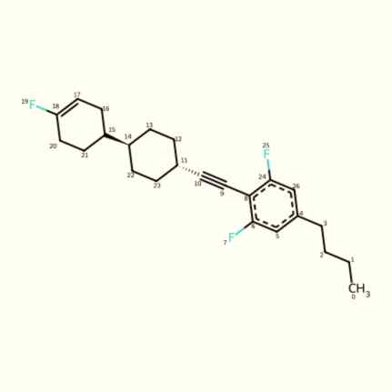 CCCCc1cc(F)c(C#C[C@H]2CC[C@H](C3CC=C(F)CC3)CC2)c(F)c1